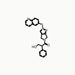 O=C(C(CO)c1ccccc1)N1Cc2cn(Sc3ccc4ncccc4c3)nc2C1